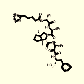 CCCC(NC(=O)[C@@H]1[C@H]2CCC[C@H]2CN1C(=O)[C@@H](NC(=O)[C@H](NC(=O)CCCCc1nnn[nH]1)C(C)C)C(C)C)C(=O)C(=O)N[C@H](Cc1ccccc1)C(=O)O